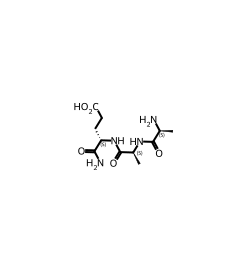 C[C@H](N)C(=O)N[C@@H](C)C(=O)N[C@@H](CCC(=O)O)C(N)=O